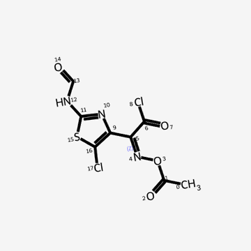 CC(=O)O/N=C(\C(=O)Cl)c1nc(NC=O)sc1Cl